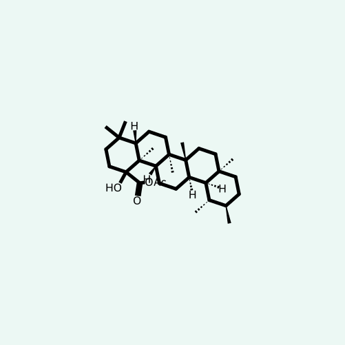 CC(=O)OC(=O)C1(O)CCC(C)(C)[C@@H]2CC[C@]3(C)[C@H](CC[C@@H]4[C@@H]5[C@@H](C)[C@H](C)CC[C@]5(C)CC[C@]43C)[C@]21C